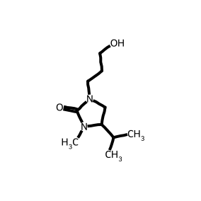 CC(C)C1CN(CCCO)C(=O)N1C